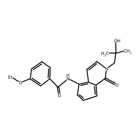 CCOc1cccc(C(=O)Nc2cccc3c(=O)n(CC(C)(C)O)ccc23)c1